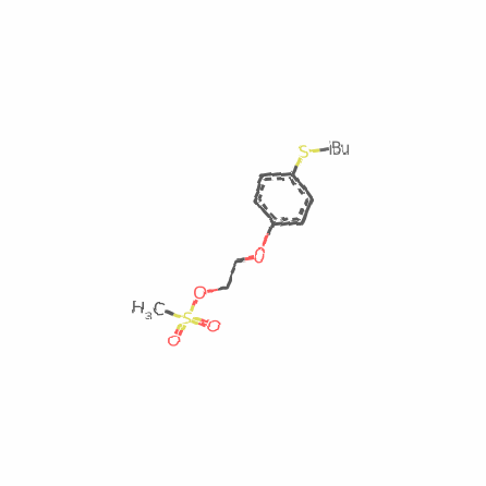 CCC(C)Sc1ccc(OCCOS(C)(=O)=O)cc1